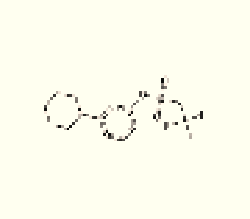 O=S(=O)(CC(F)(F)F)Oc1cccc(C2CCCCC2)c1